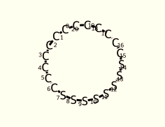 C1CCCCCCSSSSSSSSCCCCCC1